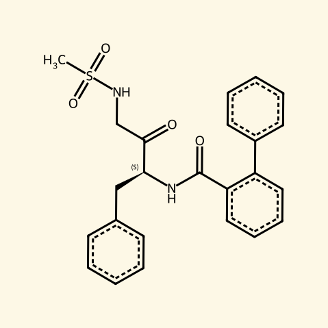 CS(=O)(=O)NCC(=O)[C@H](Cc1ccccc1)NC(=O)c1ccccc1-c1ccccc1